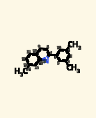 Cc1cc(C)cc(-c2ccc3ccc(C)cc3n2)c1